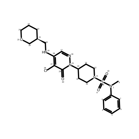 CN(c1ccccc1)S(=O)(=O)N1CCC(n2ncc(NC[C@@H]3CCCOC3)c(Cl)c2=O)CC1